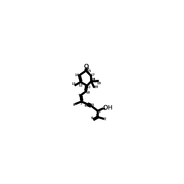 C=C(C)C(O)C#CC(C)=CC=C1C(C)=CC(=O)CC1(C)C